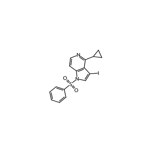 O=S(=O)(c1ccccc1)n1cc(I)c2c(C3CC3)nccc21